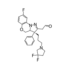 O=CCC1=NN2c3cc(F)ccc3OCC2[C@@]1(CCCN1CCC(F)(F)C1)c1ccccc1